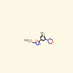 CCOC(=O)Cc1nnc(-c2cc(N3CCOCC3)cc(C(F)(F)F)c2)o1